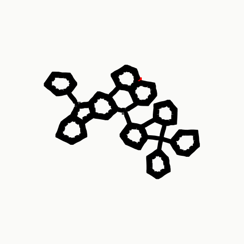 c1ccc(-c2cc3c(cc2N(c2ccccc2)c2cccc4c2-c2ccccc2C4(c2ccccc2)c2ccccc2)c2ccccc2n3-c2ccccc2)cc1